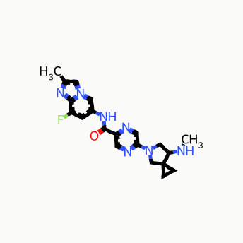 CNC1CN(c2cnc(C(=O)Nc3cc(F)c4nc(C)cn4c3)cn2)CC12CC2